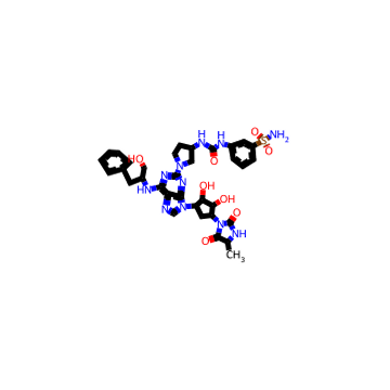 CC1NC(=O)N(C2CC(n3cnc4c(NC(CO)Cc5ccccc5)nc(N5CCC(NC(=O)Nc6cccc(S(N)(=O)=O)c6)C5)nc43)C(O)C2O)C1=O